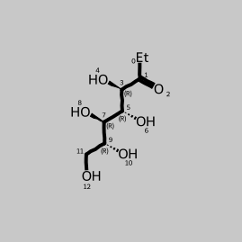 CCC(=O)[C@H](O)[C@H](O)[C@H](O)[C@H](O)CO